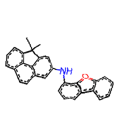 CC1(C)c2cccc3ccc4cc(Nc5cccc6c5oc5ccccc56)cc1c4c23